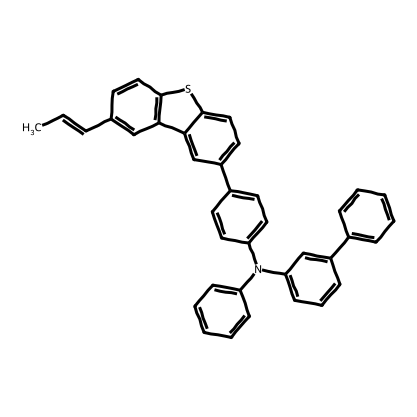 C/C=C/c1ccc2sc3ccc(-c4ccc(N(c5ccccc5)c5cccc(-c6ccccc6)c5)cc4)cc3c2c1